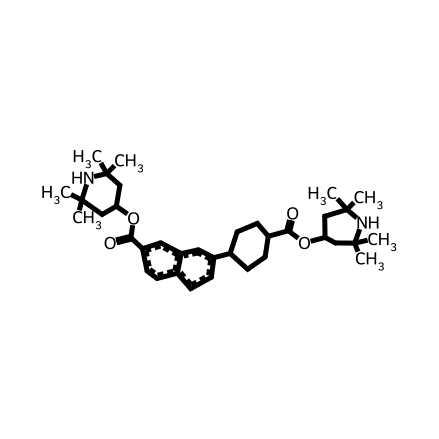 CC1(C)CC(OC(=O)c2ccc3ccc(C4CCC(C(=O)OC5CC(C)(C)NC(C)(C)C5)CC4)cc3c2)CC(C)(C)N1